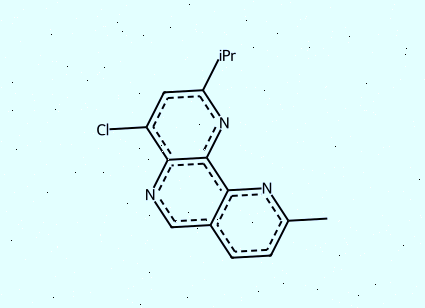 Cc1ccc2cnc3c(Cl)cc(C(C)C)nc3c2n1